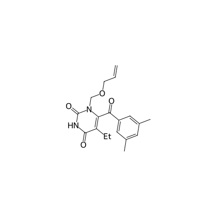 C=CCOCn1c(C(=O)c2cc(C)cc(C)c2)c(CC)c(=O)[nH]c1=O